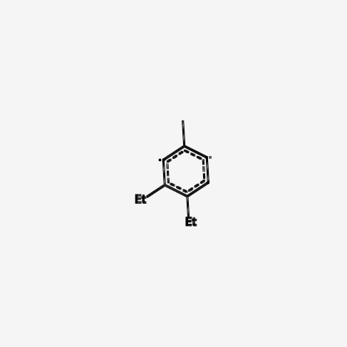 CCc1[c]c(C)[c]cc1CC